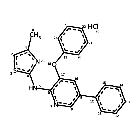 Cc1csc(Nc2ncc(-c3ccccc3)cc2Oc2ccccc2)n1.Cl